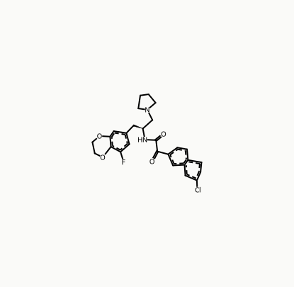 O=C(N[C@@H](Cc1cc(F)c2c(c1)OCCO2)CN1CCCC1)C(=O)c1ccc2ccc(Cl)cc2c1